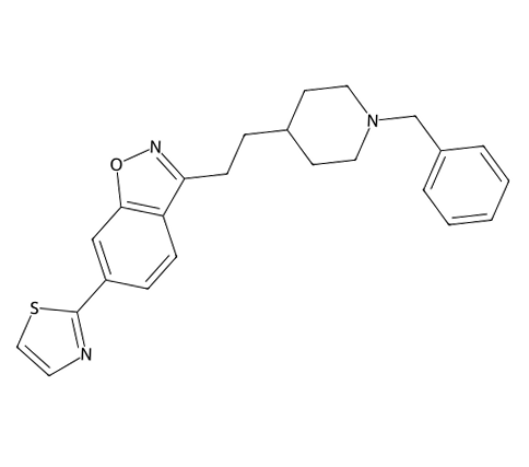 c1ccc(CN2CCC(CCc3noc4cc(-c5nccs5)ccc34)CC2)cc1